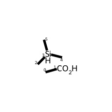 CC(=O)O.C[SiH](C)C